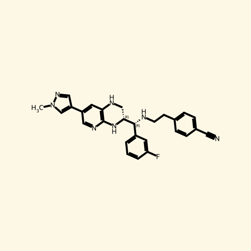 Cn1cc(-c2cnc3c(c2)NC[C@H]([C@H](NCCc2ccc(C#N)cc2)c2cccc(F)c2)N3)cn1